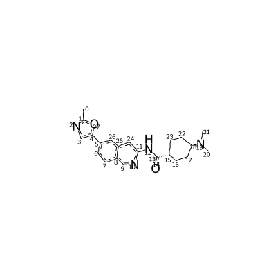 Cc1ncc(-c2ccc3cnc(NC(=O)[C@H]4CC[C@H](N(C)C)CC4)cc3c2)o1